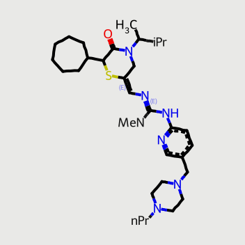 CCCN1CCN(Cc2ccc(N/C(=N/C=C3\CN(C(C)C(C)C)C(=O)C(C4CCCCCC4)S3)NC)nc2)CC1